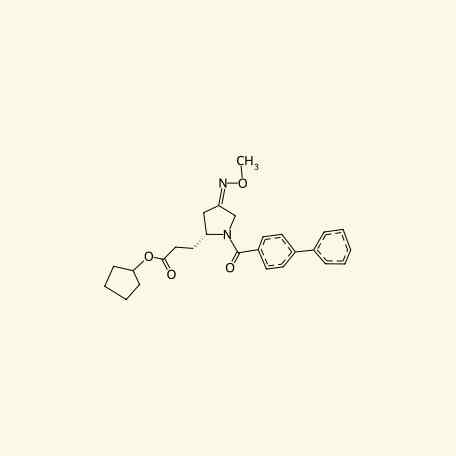 CON=C1C[C@@H](CCC(=O)OC2CCCC2)N(C(=O)c2ccc(-c3ccccc3)cc2)C1